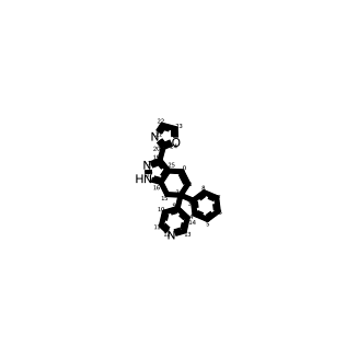 C1=CC(c2ccccc2)(c2ccncc2)Cc2[nH]nc(-c3ncco3)c21